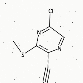 CSc1nc(Cl)cnc1C#N